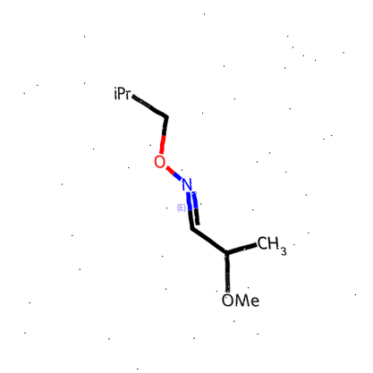 COC(C)/C=N/OCC(C)C